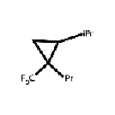 CC(C)C1CC1(C(C)C)C(F)(F)F